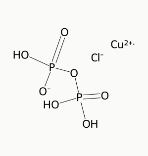 O=P([O-])(O)OP(=O)(O)O.[Cl-].[Cu+2]